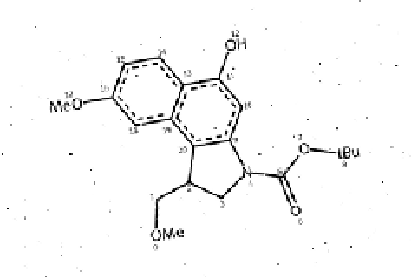 COCC1CN(C(=O)OC(C)(C)C)c2cc(O)c3ccc(OC)cc3c21